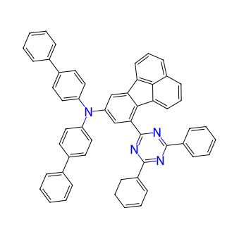 C1=CCCC(c2nc(-c3ccccc3)nc(-c3cc(N(c4ccc(-c5ccccc5)cc4)c4ccc(-c5ccccc5)cc4)cc4c3-c3cccc5cccc-4c35)n2)=C1